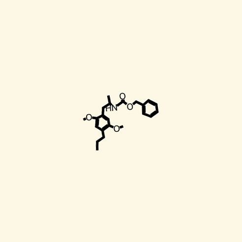 CCCc1cc(OC)c(CC(C)NC(=O)OCc2ccccc2)cc1OC